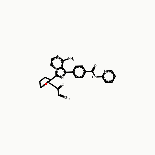 C=CC(=O)N1CC2CCC1(c1nc(-c3ccc(C(=O)Nc4ccccn4)cc3)c3c(N)nccn13)CC2